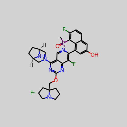 CP(C)(=O)c1c(F)ccc2cc(O)cc(-c3ncc4c(N5C[C@H]6CC[C@@H](C5)N6)nc(OC[C@@]56CCCN5C[C@H](F)C6)nc4c3F)c12